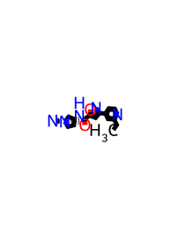 CCc1cc(-c2cc(C(=O)N[C@@H]3CCN(C#N)C3)on2)ccn1